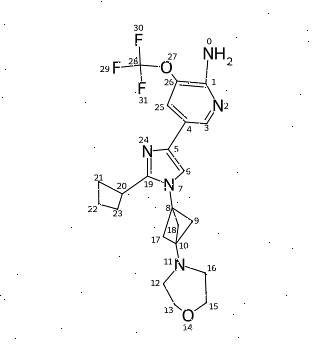 Nc1ncc(-c2cn(C34CC(N5CCOCC5)(C3)C4)c(C3CCC3)n2)cc1OC(F)(F)F